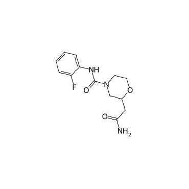 NC(=O)CC1CN(C(=O)Nc2ccccc2F)CCO1